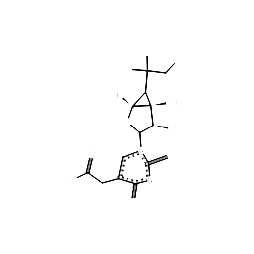 CCC(C)(I)C1[C@H]2OC(n3cc(CC(=O)O)c(=O)[nH]c3=O)[C@H](O)[C@@]12O